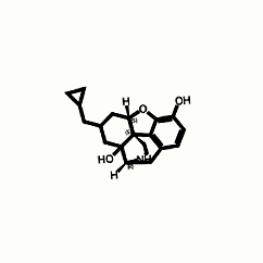 Oc1ccc2c3c1O[C@H]1CC(CC4CC4)CC4(O)[C@@H](C2)NCC[C@]314